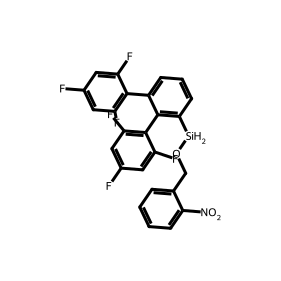 O=[N+]([O-])c1ccccc1CO[SiH2]c1cccc(-c2c(F)cc(F)cc2F)c1-c1c(F)cc(F)cc1F